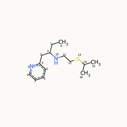 CCC(Cc1ccccn1)NCCSC(C)C